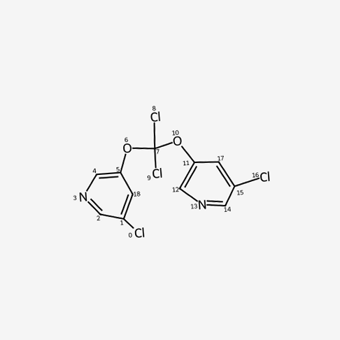 Clc1cncc(OC(Cl)(Cl)Oc2cncc(Cl)c2)c1